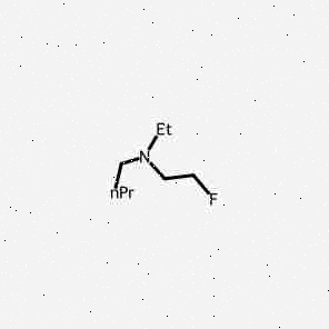 CCCCN(CC)CCF